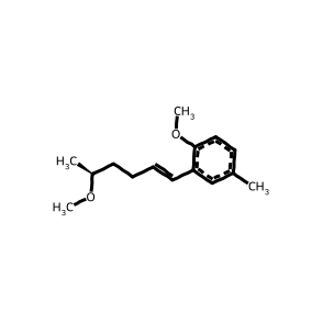 COc1ccc(C)cc1/C=C/CC[C@H](C)OC